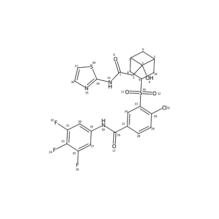 O=C(CC1(O)C2CC1CC(S(=O)(=O)c1cc(C(=O)Nc3cc(F)c(F)c(F)c3)ccc1Cl)C2)Nc1nccs1